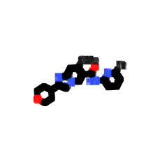 CCc1cccc(NC(=O)c2cn3cc(C4CCOCC4)nc3cc2OC)n1